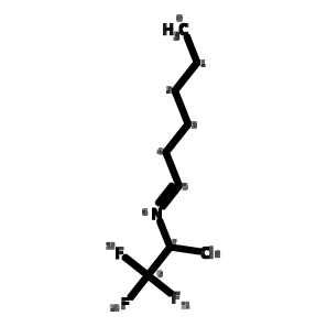 CCCCCC=NC(Cl)C(F)(F)F